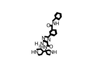 Nc1ncc(-c2cccc(C(=O)NCc3ccccc3)c2)nc1C(=O)N[C@]1(C2CCNCC2)CCNC1